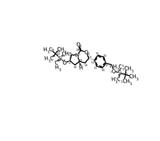 CC(C)(C)[Si](C)(C)OCc1ccc([C@@H]2C[C@@H]3C[C@@H](O[Si](C)(C)C(C)(C)C)CN3C(=O)O2)cc1